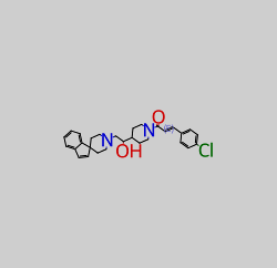 O=C(/C=C/c1ccc(Cl)cc1)N1CCC(C(O)CN2CCC3(C=Cc4ccccc43)CC2)CC1